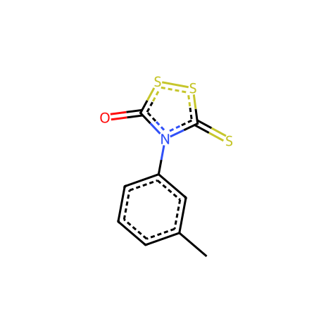 Cc1cccc(-n2c(=O)ssc2=S)c1